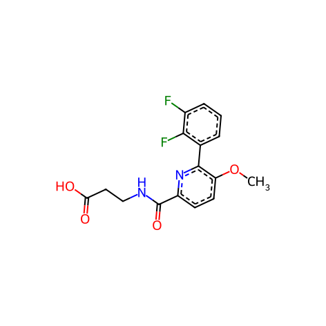 COc1ccc(C(=O)NCCC(=O)O)nc1-c1cccc(F)c1F